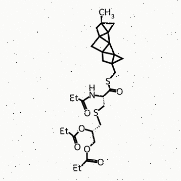 CCC(=O)N[C@@H](CSC[C@H](COC(=O)CC)OC(=O)CC)C(=O)SCC12CC34CC56C[C@]7(C)CC57C36C14C2